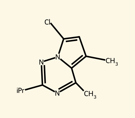 Cc1cc(Cl)n2nc(C(C)C)nc(C)c12